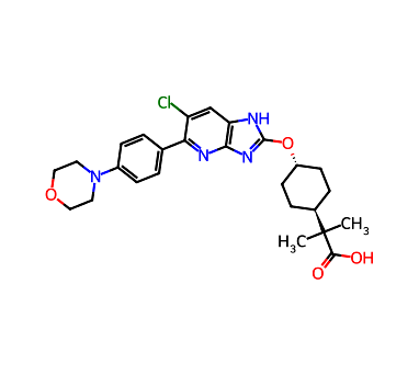 CC(C)(C(=O)O)[C@H]1CC[C@H](Oc2nc3nc(-c4ccc(N5CCOCC5)cc4)c(Cl)cc3[nH]2)CC1